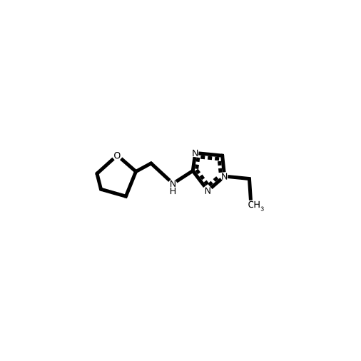 CCn1cnc(NCC2CCCO2)n1